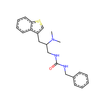 CN(C)C(CNC(=O)NCc1ccccc1)Cc1csc2ccccc12